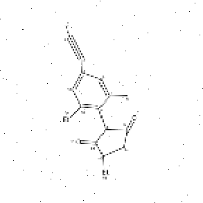 CC#Cc1cc(C)c(C2C(=O)CC(CC)C2=O)c(CC)c1